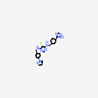 CN(Cc1ccc(-n2cccn2)cc1)c1ncnc(NCc2ccc(-c3ncn[nH]3)cc2)c1F